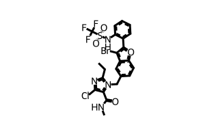 CCc1nc(Cl)c(C(=O)NC)n1Cc1ccc2oc(-c3ccccc3NS(=O)(=O)C(F)(F)F)c(Br)c2c1